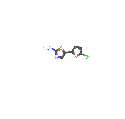 Nc1ncc(-c2ccc(Br)s2)s1